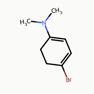 CN(C)C1=CC=C(Br)CC1